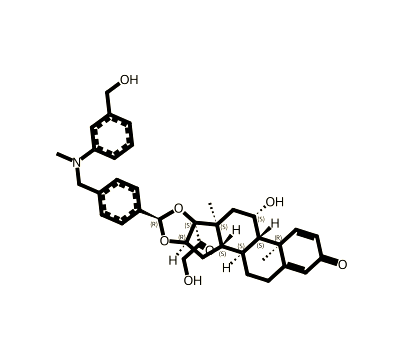 CN(Cc1ccc([C@@H]2O[C@@H]3C[C@H]4[C@@H]5CCC6=CC(=O)C=C[C@]6(C)[C@H]5[C@@H](O)C[C@]4(C)[C@]3(C(=O)CO)O2)cc1)c1cccc(CO)c1